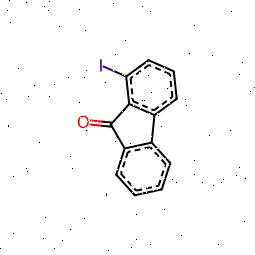 O=C1c2ccccc2-c2cccc(I)c21